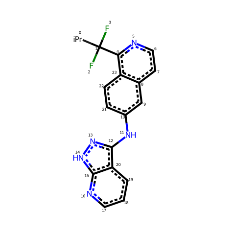 CC(C)C(F)(F)c1nccc2cc(Nc3n[nH]c4ncccc34)ccc12